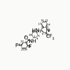 O=C(N[C@H]1CC[C@@H](Nc2cc(C(F)(F)F)nc3ccccc23)CC1)c1cc(F)ccc1F